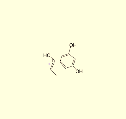 C/C=N/O.Oc1cccc(O)c1